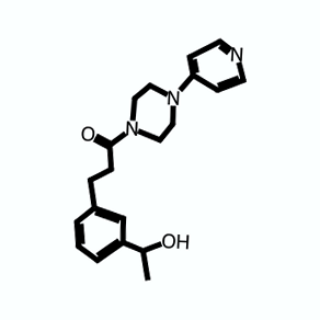 CC(O)c1cccc(CCC(=O)N2CCN(c3ccncc3)CC2)c1